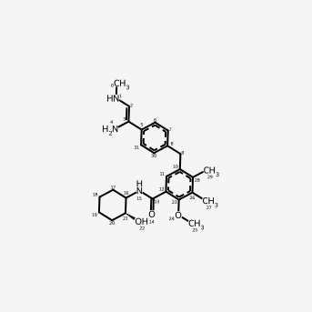 CN/C=C(\N)c1ccc(Cc2cc(C(=O)NC3CCCC[C@@H]3O)c(OC)c(C)c2C)cc1